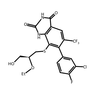 CCO[C@@H](CO)CSc1c(-c2ccc(F)c(Cl)c2)c(C(F)(F)F)cc2c(=O)[nH]c(=O)[nH]c12